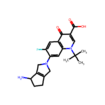 CC(C)(C)n1cc(C(=O)O)c(=O)c2cc(F)c(N3CC4=C(C3)C(N)CC4)cc21